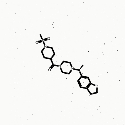 C[C@@H](c1ccc2c(c1)OCC2)N1CCN(C(=O)C2CCN(S(C)(=O)=O)CC2)CC1